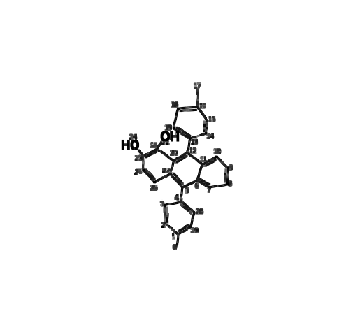 Cc1ccc(-c2c3ccccc3c(-c3ccc(C)cc3)c3c(O)c(O)ccc23)cc1